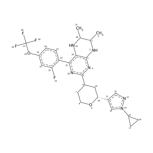 CC1Nc2nc(C3CCO[C@@H](c4cnn(C5CC5)c4)C3)nc(-c3ccc(OC(F)(F)F)cc3F)c2NC1C